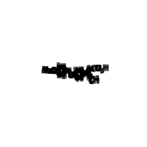 C#CC(CC(=O)O)c1ccc(OCc2ccc(OC)cc2)cc1